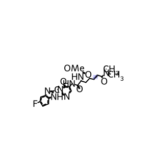 COC(=O)NC(CC/C=C/C(=O)N(C)C)C(=O)Nc1cncn(Cc2nc3cc(F)ccc3[nH]2)c1=O